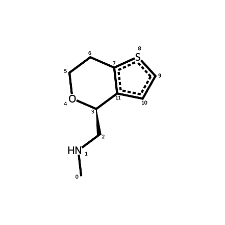 CNC[C@H]1OCCc2sccc21